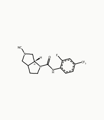 N#CN1CC2CCN(C(=O)Nc3ccc(C(F)(F)F)cc3F)[C@H]2C1